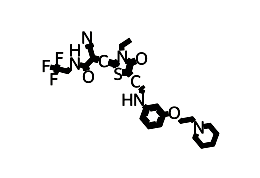 CCn1c(=C=C(C#N)C(=O)NCC(F)(F)F)sc(=C=CNc2cccc(OCCN3CCCCC3)c2)c1=O